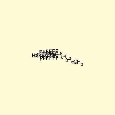 C=CCCCCCC(F)(F)C(F)(F)C(F)(F)C(F)(F)C(F)(F)C(O)(F)F